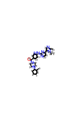 Cc1ccccc1N1CCN(C(=O)c2ccc(Nc3nccc(-c4cnc(C)n4C(C)C)n3)cc2)CC1